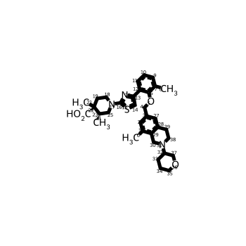 Cc1cc(COc2c(C)cccc2-c2csc(N3CC[C@](C)(C(=O)O)[C@@H](C)C3)n2)cc2c1CN(C1CCCOC1)CC2